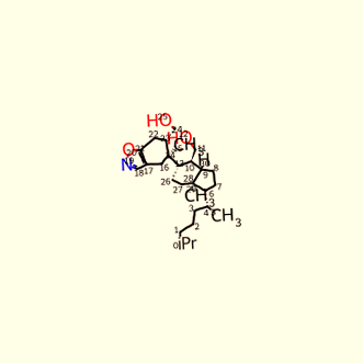 CC(C)CCCC(C)[C@H]1CC[C@H]2[C@H](CO)[C@@H]([C@@]3(C)Cc4cnoc4C[C@@H]3CO)CC[C@]12C